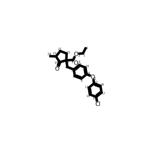 CCOC(=O)C1(Cc2ccc(Oc3ccc(Cl)cc3)cc2)CCC(C)C1=O